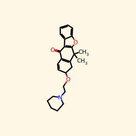 CC1(C)C2=C(C=CC(OCCN3CCCCC3)C2)C(=O)c2c1oc1ccccc21